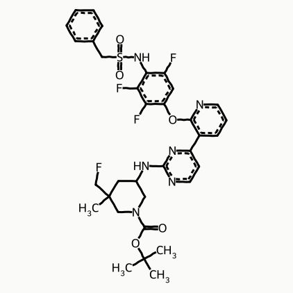 CC1(CF)CC(Nc2nccc(-c3cccnc3Oc3cc(F)c(NS(=O)(=O)Cc4ccccc4)c(F)c3F)n2)CN(C(=O)OC(C)(C)C)C1